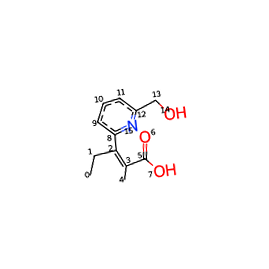 CCC(=C(C)C(=O)O)c1cccc(CO)n1